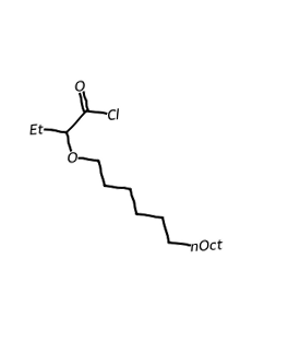 CCCCCCCCCCCCCCOC(CC)C(=O)Cl